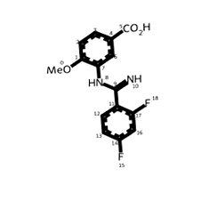 COc1ccc(C(=O)O)cc1NC(=N)c1ccc(F)cc1F